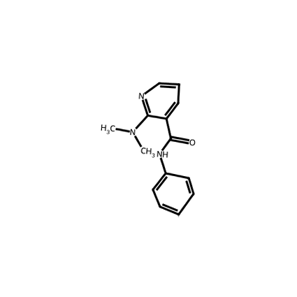 CN(C)c1ncccc1C(=O)Nc1cc[c]cc1